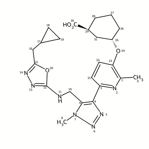 Cc1nc(-c2nnn(C)c2CNc2nnc(CC3CC3)o2)ccc1O[C@H]1CCC[C@H](C(=O)O)C1